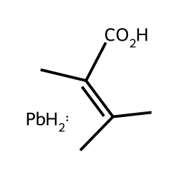 CC(C)=C(C)C(=O)O.[PbH2]